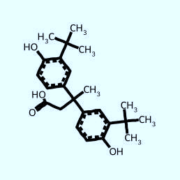 CC(C)(C)c1cc(C(C)(CC(=O)O)c2ccc(O)c(C(C)(C)C)c2)ccc1O